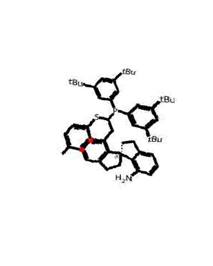 Cc1ccc(SC(Cc2cccc3c2[C@]2(CCc4cccc(N)c42)CC3)P(c2cc(C(C)(C)C)cc(C(C)(C)C)c2)c2cc(C(C)(C)C)cc(C(C)(C)C)c2)cc1